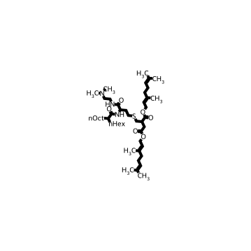 CCCCCCCCC(CCCCCC)C(=O)NC(CCSCC(CC(=O)OC/C=C(\C)CCC=C(C)C)C(=O)OC/C=C(\C)CCC=C(C)C)C(=O)NCCN(C)C